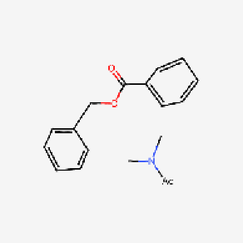 CC(=O)N(C)C.O=C(OCc1ccccc1)c1ccccc1